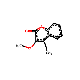 COc1c(C)c2ccccc2oc1=O